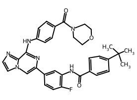 CC(C)(C)c1ccc(C(=O)Nc2cc(-c3cn4ccnc4c(Nc4ccc(C(=O)N5CCOCC5)cc4)n3)ccc2F)cc1